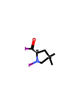 C[Si]1(C)C[C@@H](C(=O)I)N(I)C1